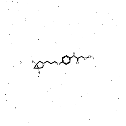 COCC(=O)Nc1ccc(OCCCN2C[C@H]3C[C@H]3C2)cc1